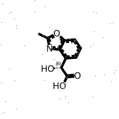 Cc1nc2c([C@@H](O)C(=O)O)cccc2o1